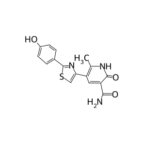 Cc1[nH]c(=O)c(C(N)=O)cc1-c1csc(-c2ccc(O)cc2)n1